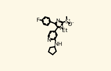 CCn1c([S+](C)[O-])nc(-c2ccc(F)cc2)c1-c1ccnc(NC2CCCC2)c1